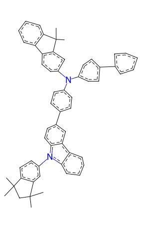 CC1(C)CC(C)(C)c2cc(-n3c4ccccc4c4cc(-c5ccc(N(c6ccc(-c7ccccc7)cc6)c6ccc7c(c6)C(C)(C)c6ccccc6-7)cc5)ccc43)ccc21